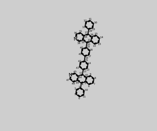 c1ccc(-c2c3ccccc3c(-c3ccc(-c4ccc(-c5c6ccccc6c(-c6ccccc6)c6ccncc56)cc4)cc3)c3cnccc23)cc1